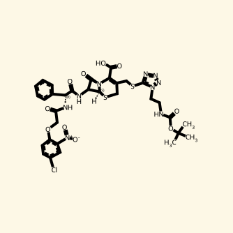 CC(C)(C)OC(=O)NCCn1nnnc1SCC1=C(C(=O)O)N2C(=O)C(NC(=O)[C@H](NC(=O)COc3ccc(Cl)cc3[N+](=O)[O-])c3ccccc3)[C@@H]2SC1